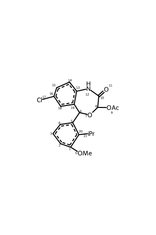 COc1cccc(C2OC(OC(C)=O)C(=O)Nc3ccc(Cl)cc32)c1C(C)C